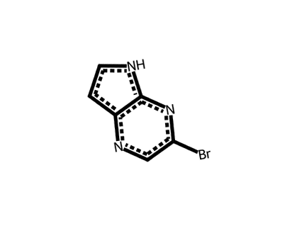 Brc1cnc2cc[nH]c2n1